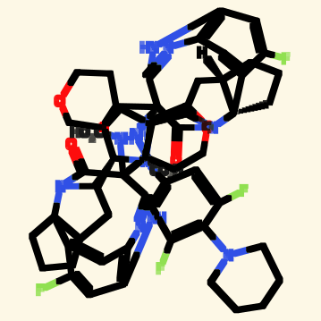 O=C(O)NC1(C2CCOCC2)C(=O)N2C([C@H]3CC[C@@H](C4C[C@@H]5CCC[C@@]56c5cc7nc([nH]c7cc5F)[C@@](NC(=O)O)(C5CCOCC5)C(=O)N46)N3c3cc(F)c(N4CCCCC4)c(F)c3)CC3CCCC32c2cc3nc1[nH]c3cc2F